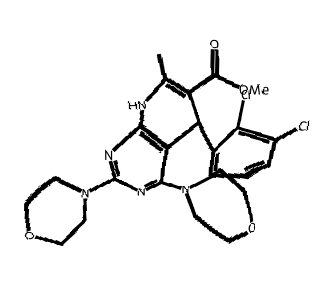 COC(=O)C1=C(C)Nc2nc(N3CCOCC3)nc(N3CCOCC3)c2C1c1cccc(Cl)c1Cl